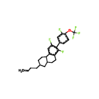 C=CCCC1CCC2c3cc(F)c(-c4ccc(OC(F)(F)F)c(F)c4)c(F)c3CCC2C1